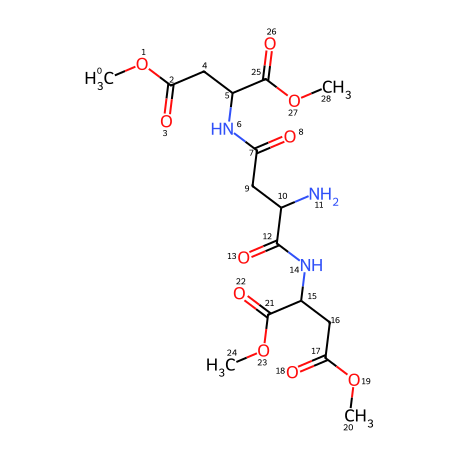 COC(=O)CC(NC(=O)CC(N)C(=O)NC(CC(=O)OC)C(=O)OC)C(=O)OC